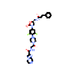 O=C(/C=C/c1ccccc1)NC[C@H]1CN(c2cc(F)c(N3CCN(C(=O)CNC(=O)c4cn5ccncc5n4)CC3)c(F)c2)C(=O)O1